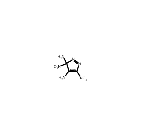 NC1=C([N+](=O)[O-])N=NC1(N)[N+](=O)[O-]